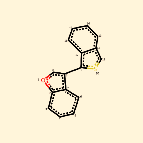 [c]1oc2ccccc2c1-c1scc2ccccc12